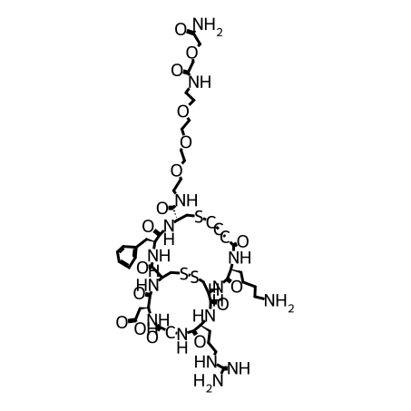 N=C(N)NCCC[C@@H]1NC(=O)[C@@H]2CSSC[C@H](NC(=O)[C@H](CC(=O)O)NC(=O)CNC1=O)C(=O)N[C@@H](Cc1ccccc1)C(=O)N[C@H](C(=O)NCCOCCOCCOCCNC(=O)COCC(N)=O)CSCCCC(=O)N[C@@H](CCCCN)C(=O)N2